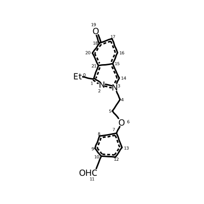 CCc1nn(CCOc2ccc(C=O)cc2)cc2ccc(=O)cc1-2